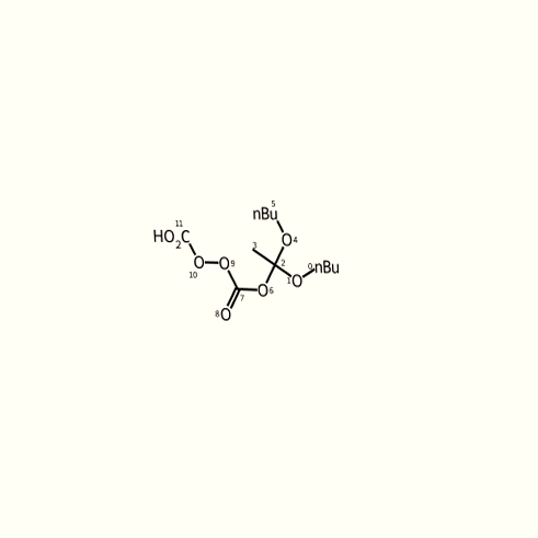 CCCCOC(C)(OCCCC)OC(=O)OOC(=O)O